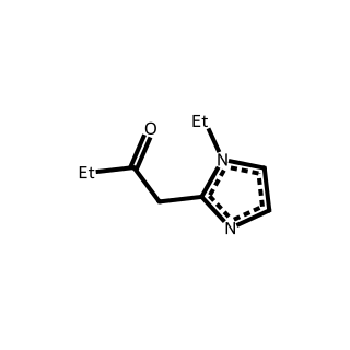 CCC(=O)Cc1nccn1CC